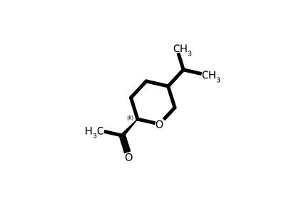 CC(=O)[C@H]1CCC(C(C)C)CO1